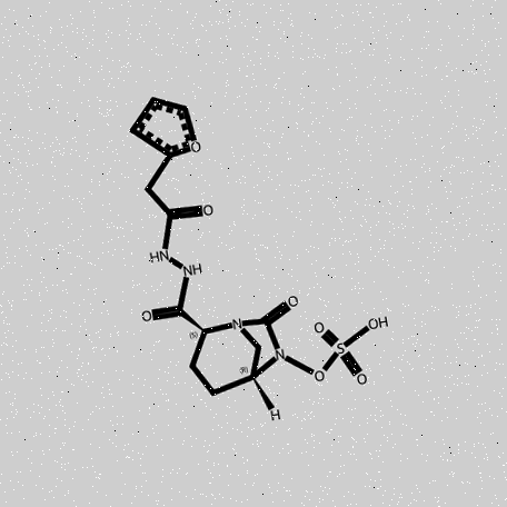 O=C(Cc1ccco1)NNC(=O)[C@@H]1CC[C@@H]2CN1C(=O)N2OS(=O)(=O)O